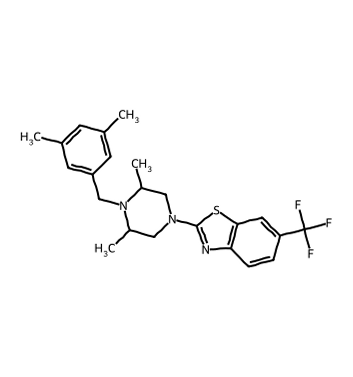 Cc1cc(C)cc(CN2C(C)CN(c3nc4ccc(C(F)(F)F)cc4s3)CC2C)c1